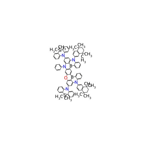 CC1(C)CCC(C)(C)c2cc(N3c4ccccc4B4c5cc6c(cc5Oc5cc(N7c8ccccc8[Si](C)(C)c8ccccc87)cc3c54)N(c3ccccc3)c3cc(N4c5ccccc5[Si](C)(C)c5ccccc54)cc4c3B6c3ccccc3N4c3ccc4c(c3)C(C)(C)CCC4(C)C)ccc21